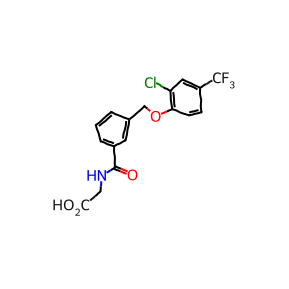 O=C(O)CNC(=O)c1cccc(COc2ccc(C(F)(F)F)cc2Cl)c1